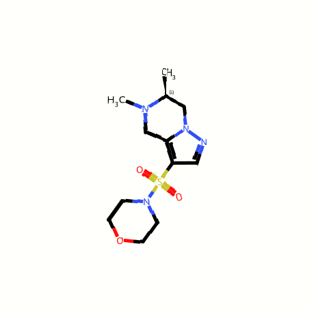 C[C@H]1Cn2ncc(S(=O)(=O)N3CCOCC3)c2CN1C